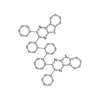 c1ccc(-c2nc3c(nc2-c2ccccc2-c2ccccc2-c2ccccc2-c2nc4sc5ccccc5c4nc2-c2ccccc2)sc2ccccc23)cc1